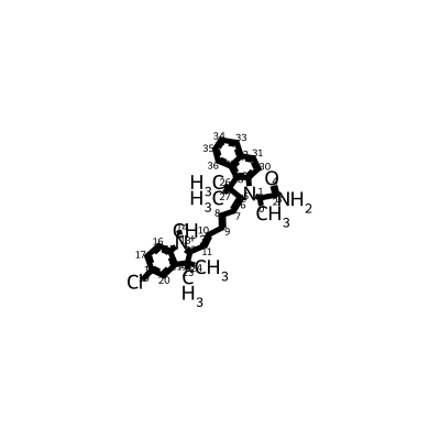 CC(C(N)=O)N1/C(=C/C=C/C=C/C2=[N+](C)c3ccc(Cl)cc3C2(C)C)C(C)(C)c2c1ccc1ccccc21